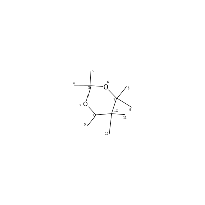 CC1OC(C)(C)OC(C)(C)C1(C)C